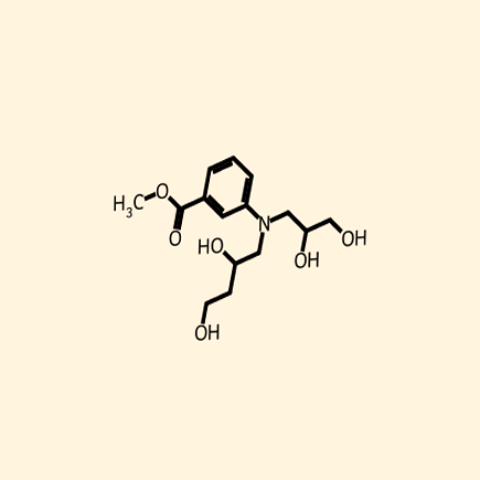 COC(=O)c1cccc(N(CC(O)CO)CC(O)CCO)c1